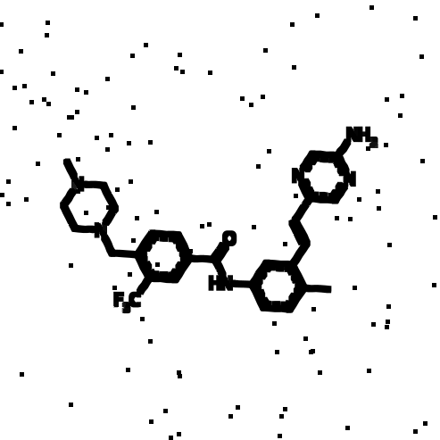 Cc1ccc(NC(=O)c2ccc(CN3CCN(C)CC3)c(C(F)(F)F)c2)cc1C=Cc1cnc(N)cn1